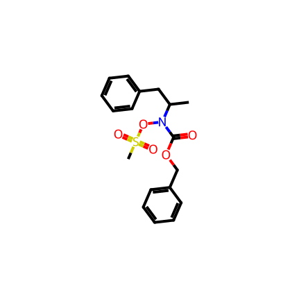 CC(Cc1ccccc1)N(OS(C)(=O)=O)C(=O)OCc1ccccc1